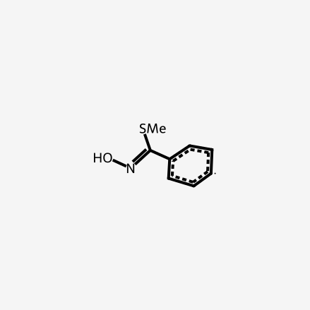 CSC(=NO)c1cc[c]cc1